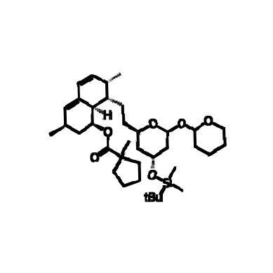 C[C@H]1C=C2C=C[C@H](C)[C@H](CC[C@@H]3C[C@@H](O[Si](C)(C)C(C)(C)C)CC(OC4CCCCO4)O3)[C@H]2[C@@H](OC(=O)C2(C)CCCC2)C1